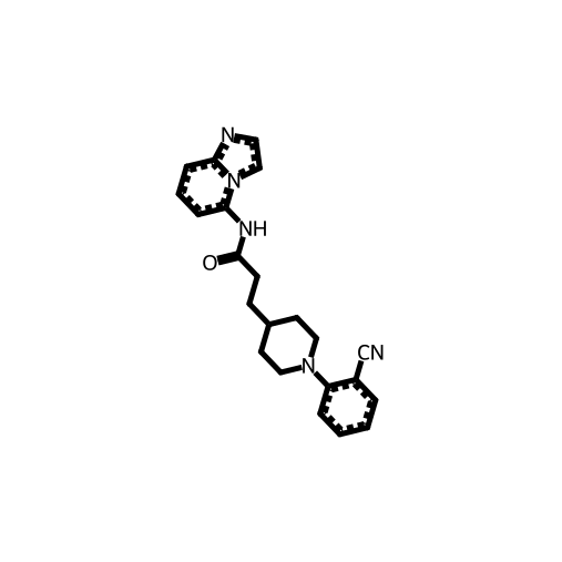 N#Cc1ccccc1N1CCC(CCC(=O)Nc2cccc3nccn23)CC1